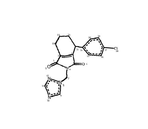 O=C1C2=C(C(=O)N1Cn1cncn1)C(c1ccc(Cl)cc1)CCC2